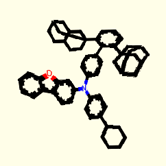 c1cc(C23CC4CC(CC(C4)C2)C3)c(-c2ccc(N(c3ccc(C4CCCCC4)cc3)c3ccc4c(c3)oc3ccccc34)cc2)c(C23CCC4CCC(CC4C2)C3)c1